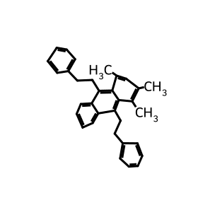 Cc1cc(C)c2c(CCc3ccccc3)c3ccccc3c(CCc3ccccc3)c2c1C